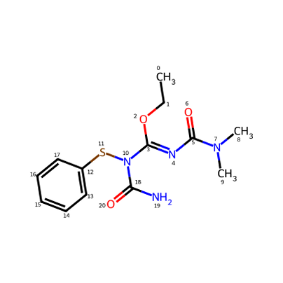 CCOC(=NC(=O)N(C)C)N(Sc1ccccc1)C(N)=O